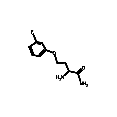 NC(=O)C(N)CCOc1cccc(F)c1